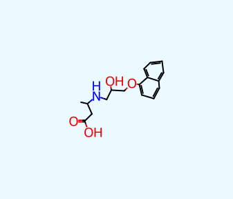 CC(CC(=O)O)NCC(O)COc1cccc2ccccc12